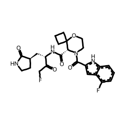 O=C1NCC[C@@H]1C[C@H](NC(=O)[C@H]1N(C(=O)c2cc3c(F)cccc3[nH]2)CCOC12CCC2)C(=O)CF